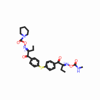 CC/C(=N\OC(=O)NC)C(=O)c1ccc(Sc2ccc(C(=O)/C(CC)=N/OC(=O)N3CCCCC3)cc2)cc1